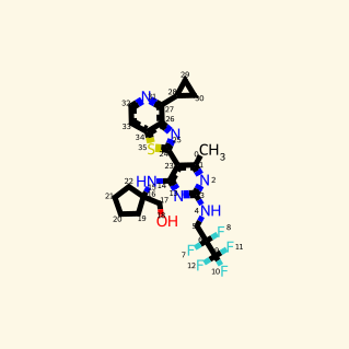 Cc1nc(NCC(F)(F)C(F)(F)F)nc(NC2(CO)CCCC2)c1-c1nc2c(C3CC3)nccc2s1